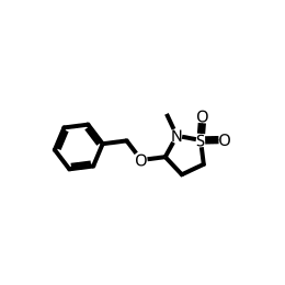 CN1C(OCc2ccccc2)CCS1(=O)=O